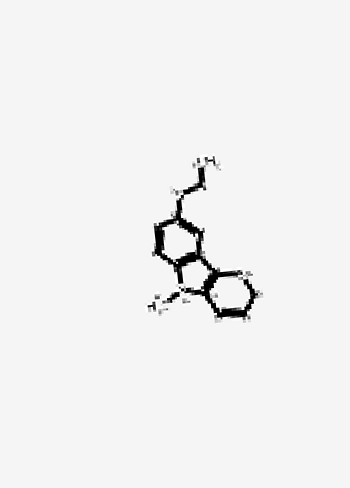 CCSc1ccc2c(c1)c1c(n2C)C=CCS1